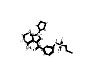 CCCS(=O)(=O)Nc1cccc(C(=O)c2cn(C3CCCC3)c3ncnc(N)c23)c1